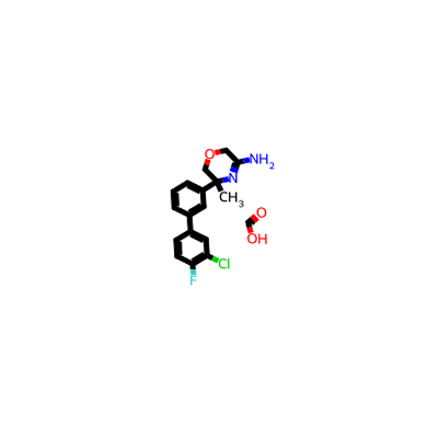 CC1(c2cccc(-c3ccc(F)c(Cl)c3)c2)COCC(N)=N1.O=CO